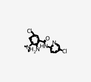 CN(C)c1cc(Cl)cc(C(=O)Nc2ccc(Cl)cn2)c1N